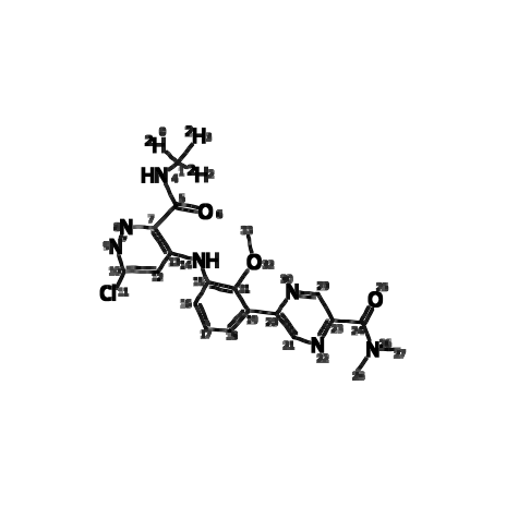 [2H]C([2H])([2H])NC(=O)c1nnc(Cl)cc1Nc1cccc(-c2cnc(C(=O)N(C)C)cn2)c1OC